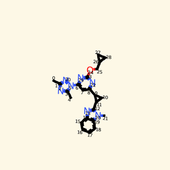 Cc1nc(C)n(-c2cc(C3CC3c3nc4ccccc4n3C)nc(OCC3CC3)n2)n1